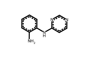 Nc1ccccc1Nc1ccncn1